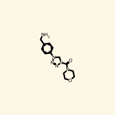 NCc1ccc(N2CN(C(=O)N3CCOCC3)N=N2)cc1